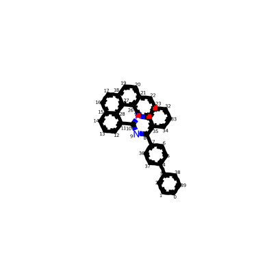 c1ccc(-c2ccc(-c3nc(-c4cccc5ccc6ccc7ccccc7c6c45)nc4ccccc34)cc2)cc1